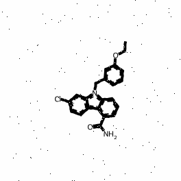 CCOc1cccc(Cn2c3cc(Cl)c[c]c3c3c(C(N)=O)cccc32)c1